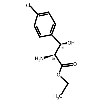 CCOC(=O)[C@@H](N)[C@H](O)c1ccc(Cl)cc1